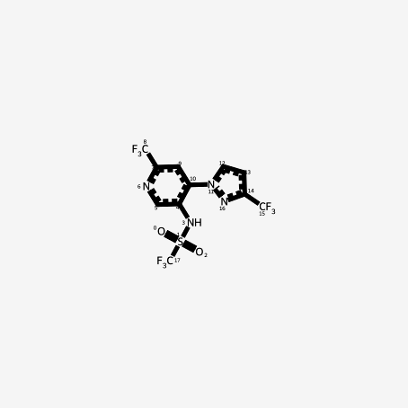 O=S(=O)(Nc1cnc(C(F)(F)F)cc1-n1ccc(C(F)(F)F)n1)C(F)(F)F